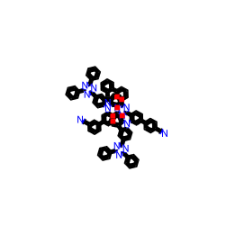 N#Cc1ccc(-c2ccc(-c3nc(-c4cccc(-c5ccccc5C#N)c4)nc(-c4ccc(-c5cccc(C#N)c5)cc4-n4c5ccccc5c5cc(-c6nc(-c7ccccc7)nc(-c7ccccc7)n6)ccc54)n3)c(-n3c4ccccc4c4cc(-c5nc(-c6ccccc6)nc(-c6ccccc6)n5)ccc43)c2)cc1